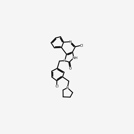 O=c1[nH]c2c(Cl)nc3ccccc3c2n1Cc1ccc(Cl)c(CN2CCCC2)c1